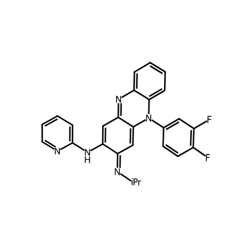 CC(C)/N=c1\cc2n(-c3ccc(F)c(F)c3)c3ccccc3nc-2cc1Nc1ccccn1